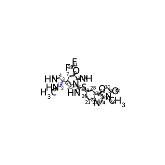 CN/C=C(\C=N)c1cc(OC(F)F)c(=N)n(C(=N)Sc2ccc3ncc4c(c3c2)OCC(=O)N4C)c1